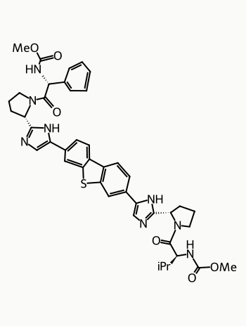 COC(=O)N[C@H](C(=O)N1CCC[C@H]1c1ncc(-c2ccc3c(c2)sc2cc(-c4cnc([C@@H]5CCCN5C(=O)[C@H](NC(=O)OC)c5ccccc5)[nH]4)ccc23)[nH]1)C(C)C